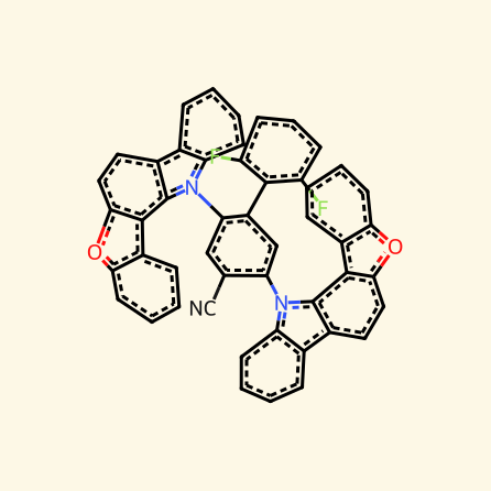 N#Cc1cc(-n2c3ccccc3c3ccc4oc5ccccc5c4c32)c(-c2c(F)cccc2F)cc1-n1c2ccccc2c2ccc3oc4ccccc4c3c21